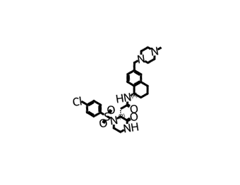 CN1CCN(Cc2ccc3c(c2)CCC[C@H]3NC(=O)C[C@@H]2C(=O)NCCN2S(=O)(=O)c2ccc(Cl)cc2)CC1